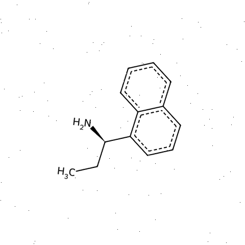 CC[C@@H](N)c1cccc2ccccc12